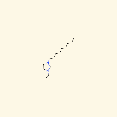 CCCCCCCCCN1C=CN(CC)C1